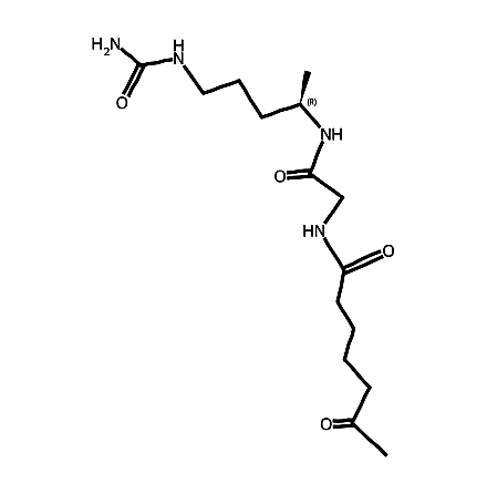 CC(=O)CCCCC(=O)NCC(=O)N[C@H](C)CCCNC(N)=O